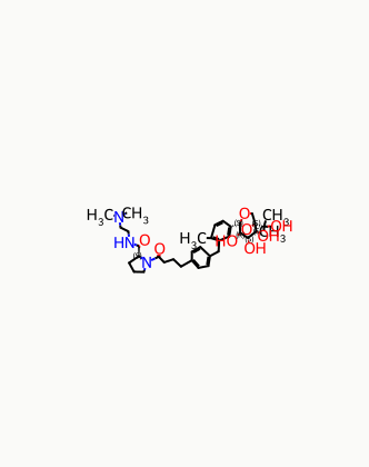 Cc1ccc([C@]23OC[C@](C(C)(C)O)(O2)[C@@H](O)[C@H](O)[C@H]3O)cc1Cc1ccc(CCCC(=O)N2CCC[C@H]2C(=O)NCCN(C)C)cc1